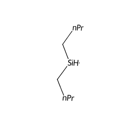 CCCC[SiH]CCCC